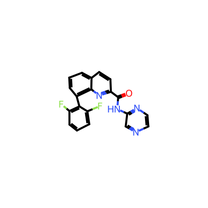 O=C(Nc1cnccn1)c1ccc2cccc(-c3c(F)cccc3F)c2n1